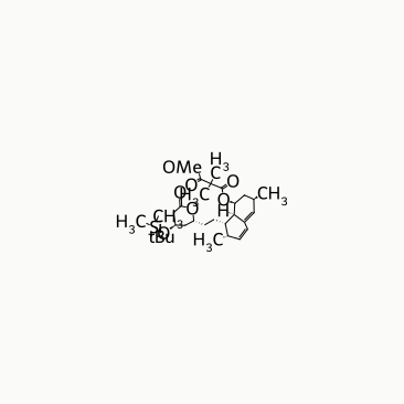 COC(=O)C(C)(C)C(=O)O[C@H]1C[C@@H](C)C=C2C=C[C@H](C)[C@H](CC[C@@H]3C[C@@H](O[Si](C)(C)C(C)(C)C)CC(=O)O3)[C@H]21